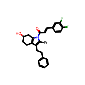 CCc1c(CCc2ccccc2)c2c(n1C(=O)/C=C/c1ccc(F)c(F)c1)CC(O)CC2